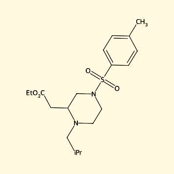 CCOC(=O)CC1CN(S(=O)(=O)c2ccc(C)cc2)CCN1CC(C)C